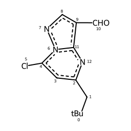 CC(C)(C)Cc1cc(Cl)n2ncc(C=O)c2n1